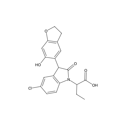 CCC(C(=O)O)N1C(=O)C(c2cc3c(cc2O)OCC3)c2cc(Cl)ccc21